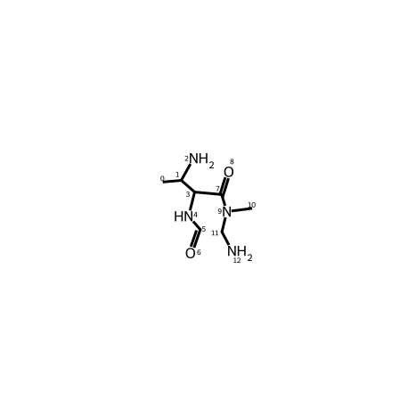 CC(N)C(NC=O)C(=O)N(C)CN